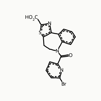 O=C(O)c1nc2c(s1)CCN(C(=O)c1cccc(Br)n1)c1ccccc1-2